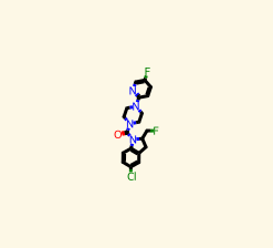 O=C(N1CCN(c2ccc(F)cn2)CC1)N1c2ccc(Cl)cc2CC1CF